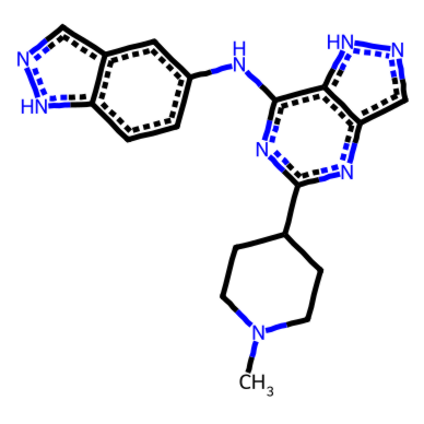 CN1CCC(c2nc(Nc3ccc4[nH]ncc4c3)c3[nH]ncc3n2)CC1